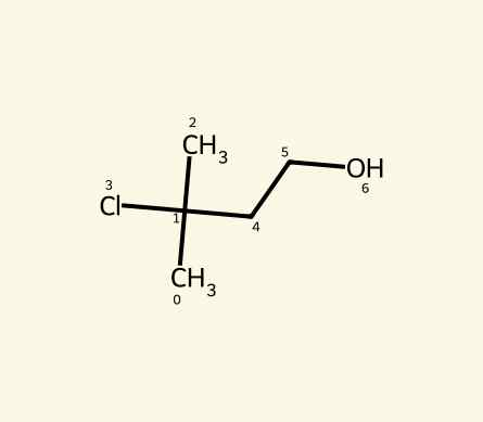 CC(C)(Cl)CCO